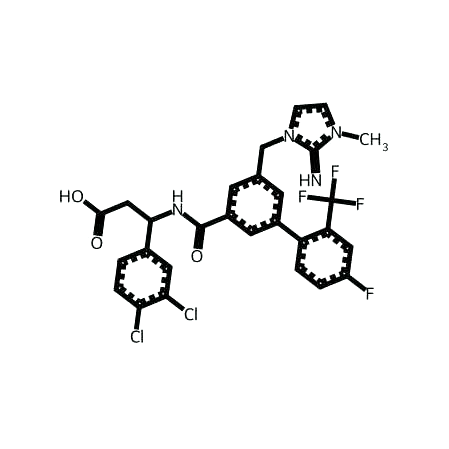 Cn1ccn(Cc2cc(C(=O)NC(CC(=O)O)c3ccc(Cl)c(Cl)c3)cc(-c3ccc(F)cc3C(F)(F)F)c2)c1=N